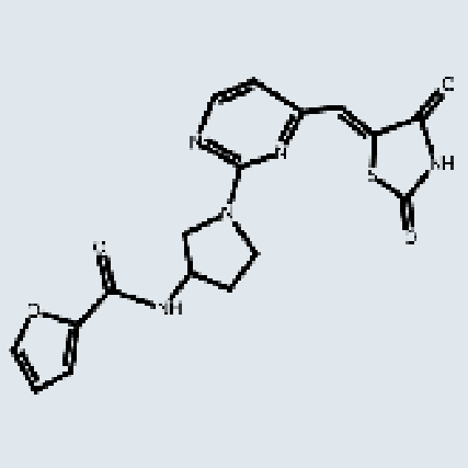 O=C1NC(=O)C(=Cc2ccnc(N3CCC(NC(=O)c4ccco4)C3)n2)S1